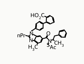 CCCc1nc2c(C)cc(C(=O)N(SC(C)=O)C(C)Cc3ccccc3)cc2n1Cc1ccc(-c2ccccc2C(=O)O)cc1